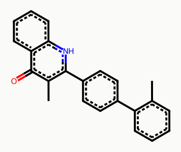 Cc1ccccc1-c1ccc(-c2[nH]c3ccccc3c(=O)c2C)cc1